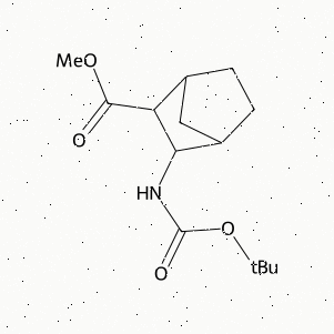 COC(=O)C1C2CCC(C2)C1NC(=O)OC(C)(C)C